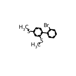 CSc1ccc(-c2ccccc2Br)c(SC)c1